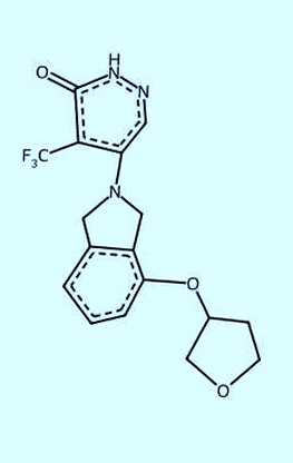 O=c1[nH]ncc(N2Cc3cccc(OC4CCOC4)c3C2)c1C(F)(F)F